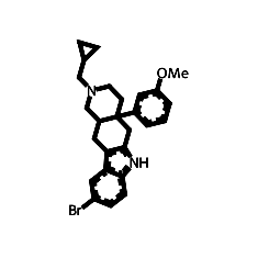 COc1cccc(C23CCN(CC4CC4)CC2Cc2c([nH]c4ccc(Br)cc24)C3)c1